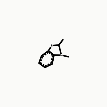 CC1Sc2c[c]ccc2N1C